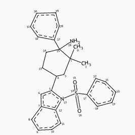 CC1(C)CC(c2cc3ccccc3n2S(=O)(=O)c2ccccc2)CCC1(N)c1ccccc1